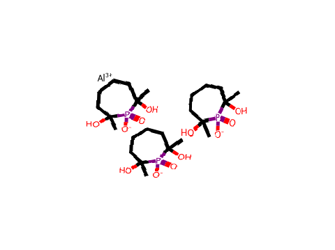 CC1(O)CCCCC(C)(O)P1(=O)[O-].CC1(O)CCCCC(C)(O)P1(=O)[O-].CC1(O)CCCCC(C)(O)P1(=O)[O-].[Al+3]